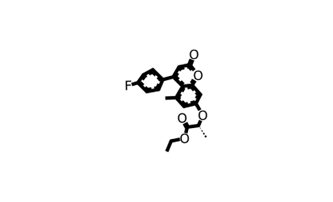 CCOC(=O)[C@@H](C)Oc1cc(C)c2c(-c3ccc(F)cc3)cc(=O)oc2c1